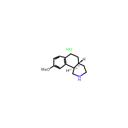 COc1ccc2c(c1)[C@@H]1CNCC[C@H]1CC2.Cl